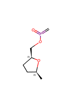 C=P(=O)OC[C@@H]1CC[C@H](C)O1